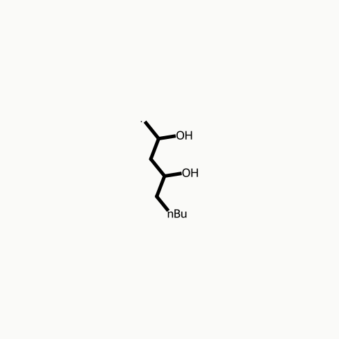 [CH2]CCCCC(O)CC([CH2])O